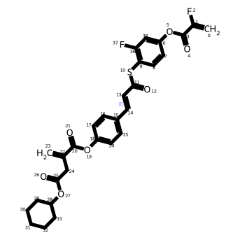 C=C(F)C(=O)Oc1ccc(SC(=O)/C=C/c2ccc(OC(=O)C(=C)CC(=O)OC3CCCCC3)cc2)c(F)c1